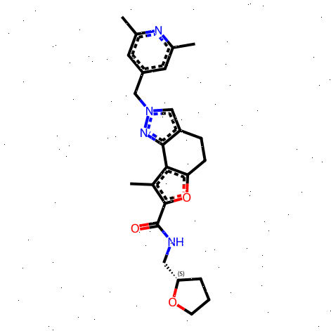 Cc1cc(Cn2cc3c(n2)-c2c(oc(C(=O)NC[C@@H]4CCCO4)c2C)CC3)cc(C)n1